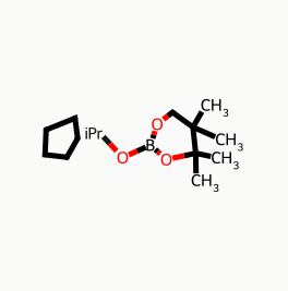 C1CCCC1.CC(C)OB1OCC(C)(C)C(C)(C)O1